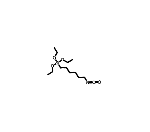 CCO[Si](CCCCCCN=C=O)(OCC)OCC